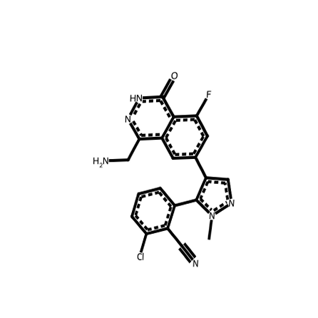 Cn1ncc(-c2cc(F)c3c(=O)[nH]nc(CN)c3c2)c1-c1cccc(Cl)c1C#N